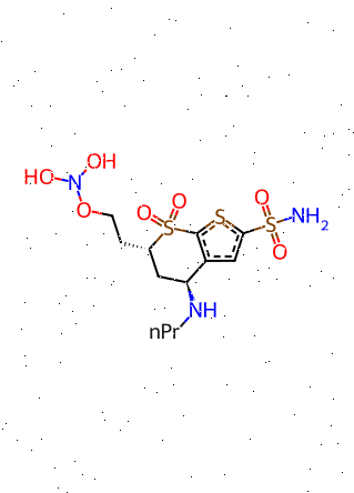 CCCN[C@H]1C[C@H](CCON(O)O)S(=O)(=O)c2sc(S(N)(=O)=O)cc21